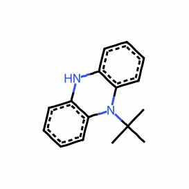 CC(C)(C)N1c2ccccc2Nc2ccccc21